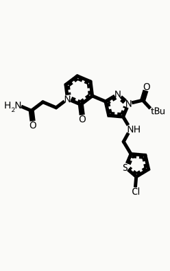 CC(C)(C)C(=O)n1nc(-c2cccn(CCC(N)=O)c2=O)cc1NCc1ccc(Cl)s1